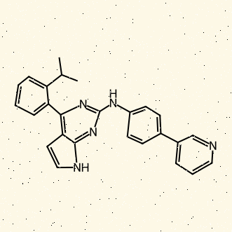 CC(C)c1ccccc1-c1nc(Nc2ccc(-c3cccnc3)cc2)nc2[nH]ccc12